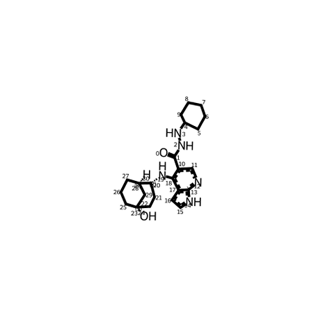 O=C(NNC1CCCCC1)c1cnc2[nH]ccc2c1N[C@@H]1CC[C@@]2(O)CCC[C@@H]1C2